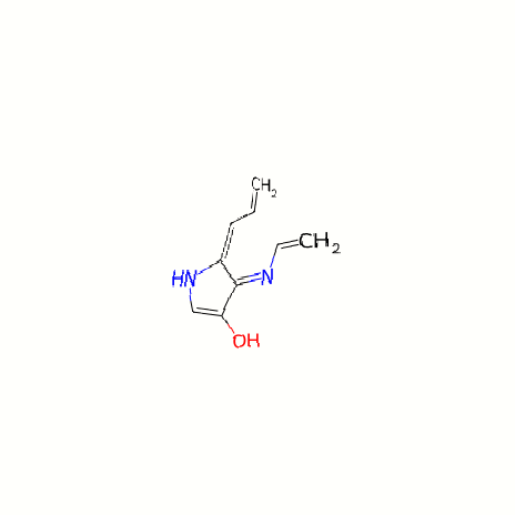 C=C/C=C1/NC=C(O)/C1=N/C=C